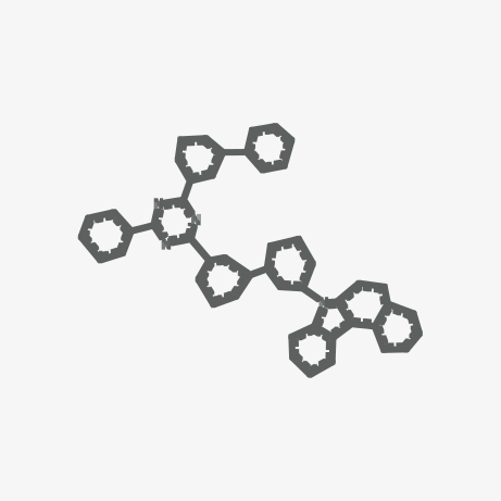 c1ccc(-c2cccc(-c3nc(-c4ccccc4)nc(-c4cccc(-c5cccc(-n6c7ccccc7c7c8ccccc8ccc76)c5)c4)n3)c2)cc1